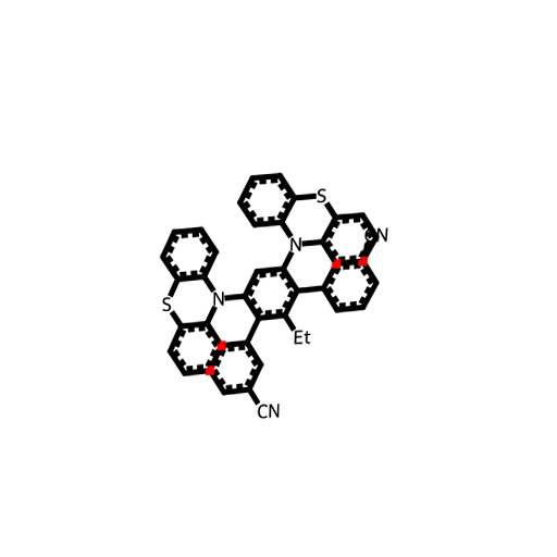 CCc1c(-c2cccc(C#N)c2)c(N2c3ccccc3Sc3ccccc32)cc(N2c3ccccc3Sc3ccccc32)c1-c1cccc(C#N)c1